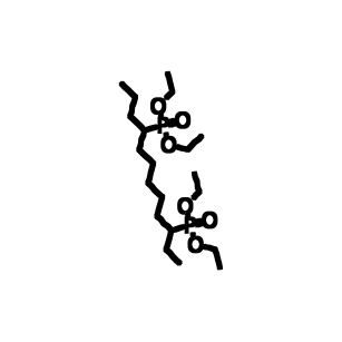 CCCC(CCCCCC(CC)P(=O)(OCC)OCC)P(=O)(OCC)OCC